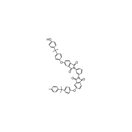 Cc1ccc(C(C)(C)c2ccc(Oc3ccc4c(c3)C(=O)N(c3cccc(N5C(=O)c6ccc(Oc7ccc(C(C)(C)c8ccc(O)cc8)cc7)cc6C5=O)c3)C4=O)cc2)cc1